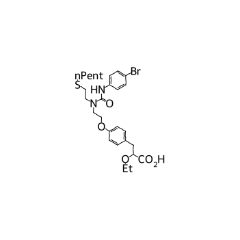 CCCCCSCCN(CCOc1ccc(CC(OCC)C(=O)O)cc1)C(=O)Nc1ccc(Br)cc1